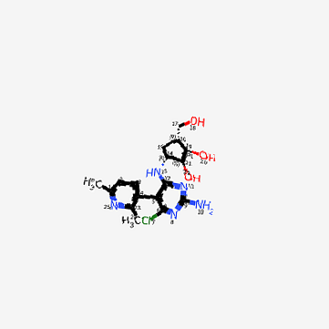 Cc1ccc(-c2c(Cl)nc(N)nc2N[C@@H]2C[C@H](CO)[C@@H](O)[C@H]2O)c(C)n1